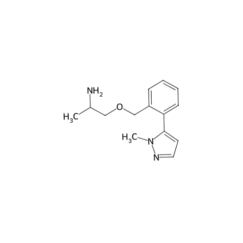 CC(N)COCc1ccccc1-c1ccnn1C